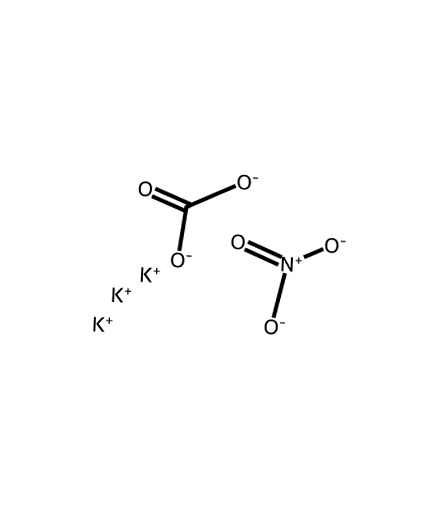 O=C([O-])[O-].O=[N+]([O-])[O-].[K+].[K+].[K+]